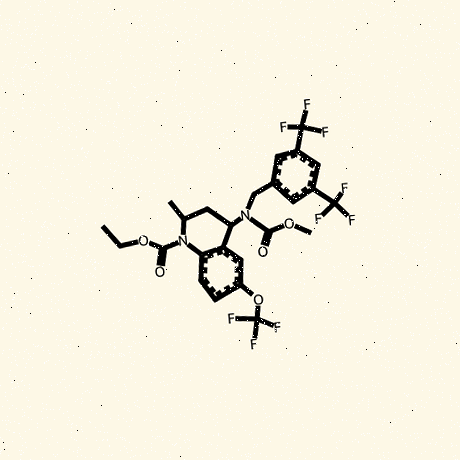 CCOC(=O)N1c2ccc(OC(F)(F)F)cc2C(N(Cc2cc(C(F)(F)F)cc(C(F)(F)F)c2)C(=O)OC)CC1C